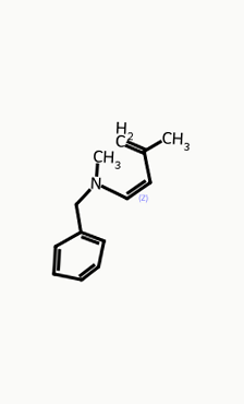 C=C(C)/C=C\N(C)Cc1ccccc1